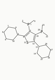 CP(C)c1c(C2CCCCC2)sc(C2CCCCC2)c1P(C)C